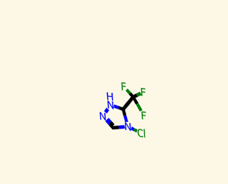 FC(F)(F)C1NN=CN1Cl